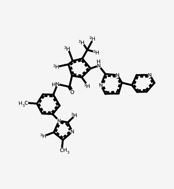 [2H]c1c([2H])c(C([2H])([2H])[2H])c(Nc2nccc(-c3cccnc3)n2)c([2H])c1C(=O)Nc1cc(C)cc(-n2c([2H])nc(C)c2[2H])c1